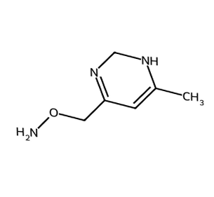 CC1=CC(CON)=NCN1